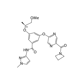 COC[C@H](C)Oc1cc(Oc2cnc(C(=O)N3CCC3)cn2)cc(C(=O)Nc2ccn(C)n2)c1